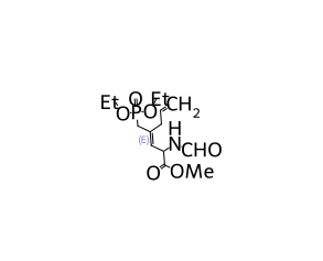 C=CC/C(=C\C(NC=O)C(=O)OC)CP(=O)(OCC)OCC